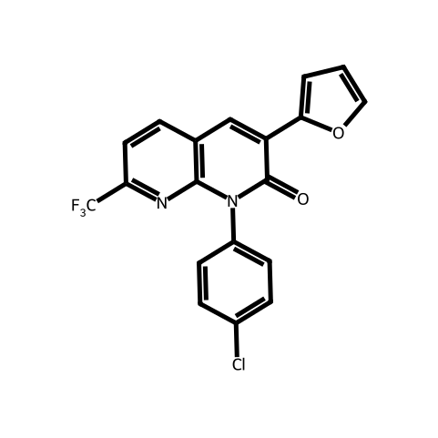 O=c1c(-c2ccco2)cc2ccc(C(F)(F)F)nc2n1-c1ccc(Cl)cc1